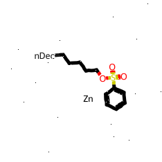 CCCCCCCCCCCCCCCOS(=O)(=O)c1ccccc1.[Zn]